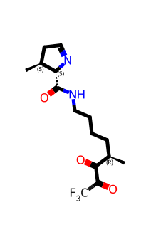 C[C@H](CCCCNC(=O)[C@H]1N=CC[C@@H]1C)C(=O)C(=O)C(F)(F)F